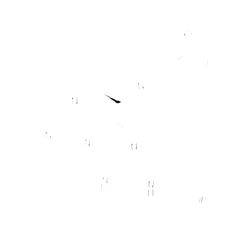 CC(C)Cc1cnc(Nc2nc(N3CCC[C@H]3C(=O)N3CCS(=O)(=O)CC3)nc3c2CCC3)[nH]1